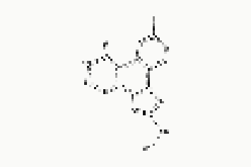 CC(C)Nc1nc2c3ccc(F)cc3c3c(=O)[nH]ccc3c2s1